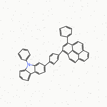 c1ccc(-c2cc(-c3ccc(-c4ccc5c6ccccc6n(-c6ccccc6)c5c4)cc3)c3ccc4cccc5ccc2c3c54)cc1